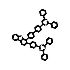 c1ccc(-c2cc(-c3ccc(-c4ccc(-c5c(-c6ccc(-c7nc(-c8ccccc8)nc(-c8ccccc8)n7)cc6)ccc6c5sc5ccccc56)cc4)cc3)nc(-c3ccccc3)n2)cc1